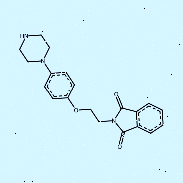 O=C1c2ccccc2C(=O)N1CCOc1ccc(N2CCNCC2)cc1